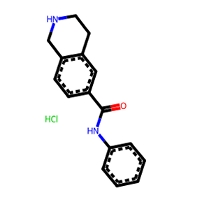 Cl.O=C(Nc1ccccc1)c1ccc2c(c1)CCNC2